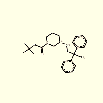 CC(C)(C)OC(=O)N1CCC[C@H](NCC(N)(c2ccccc2)c2ccccc2)C1